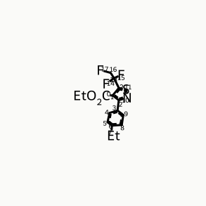 CCOC(=O)c1c(-c2ccc(CC)cc2)nsc1C(F)(F)CF